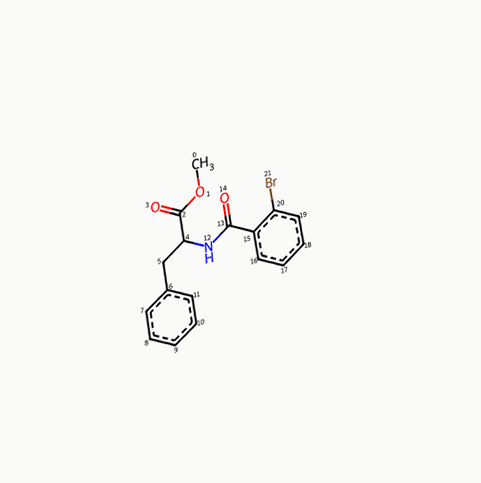 COC(=O)C(Cc1ccccc1)NC(=O)c1ccccc1Br